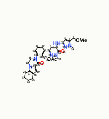 COCc1cc(Nc2cc(-c3cccc(N4CCn5c(cc6c5CCCC6)C4=O)c3COC(C)=O)nn(C)c2=O)nn1C